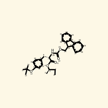 CC[C@@H](C)OC(=O)[C@H](Cc1ccc(OC(C)(C)C)cc1)NC(=O)OCC1c2ccccc2-c2ccccc21